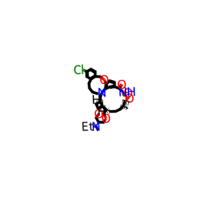 CCN(C)[C@H]1CO[C@@H]([C@@H]2CCC[C@H](C)[C@@H](C)S(=O)(=O)NC(=O)c3ccc4c(c3)N(CCCCc3cc(Cl)ccc3CO4)C[C@@H]3CC[C@H]32)OC1